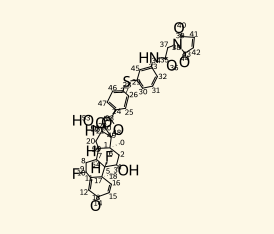 C[C@]12C[C@H](O)[C@@]3(F)[C@@H](C[C@H](F)C4=CC(=O)C=C[C@@]43C)[C@@H]1C[C@H]1O[C@@H](c3ccc(Sc4cccc(NC(=O)CN5C(=O)C=CC5=O)c4)cc3)OC12C(=O)CO